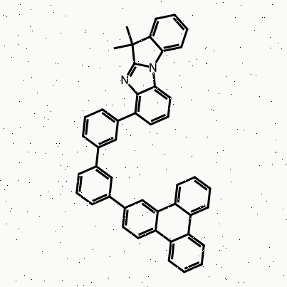 CC1(C)c2ccccc2-n2c1nc1c(-c3cccc(-c4cccc(-c5ccc6c7ccccc7c7ccccc7c6c5)c4)c3)cccc12